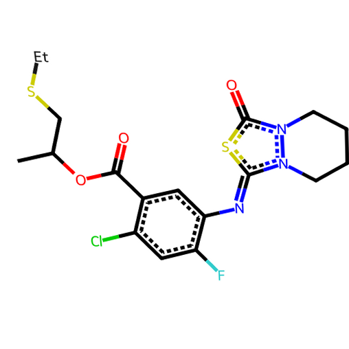 CCSCC(C)OC(=O)c1cc(N=c2sc(=O)n3n2CCCC3)c(F)cc1Cl